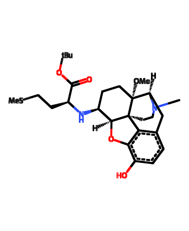 CO[C@@]12CC[C@H](N[C@@H](CCSC)C(=O)OC(C)(C)C)[C@@H]3Oc4c(O)ccc5c4[C@@]31CCN(C)[C@@H]2C5